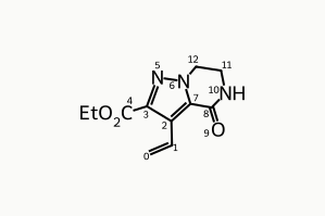 C=Cc1c(C(=O)OCC)nn2c1C(=O)NCC2